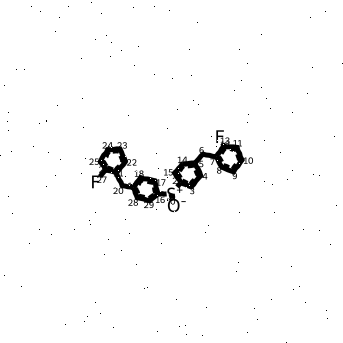 [O-][S+](c1ccc(Cc2ccccc2F)cc1)c1ccc(Cc2ccccc2F)cc1